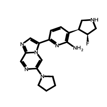 Nc1nc(-c2cnc3cnc(N4CCCC4)cn23)ccc1[C@H]1CNC[C@H]1F